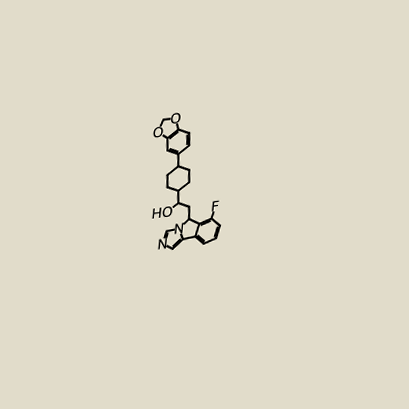 OC(CC1c2c(F)cccc2-c2cncn21)C1CCC(c2ccc3c(c2)OCO3)CC1